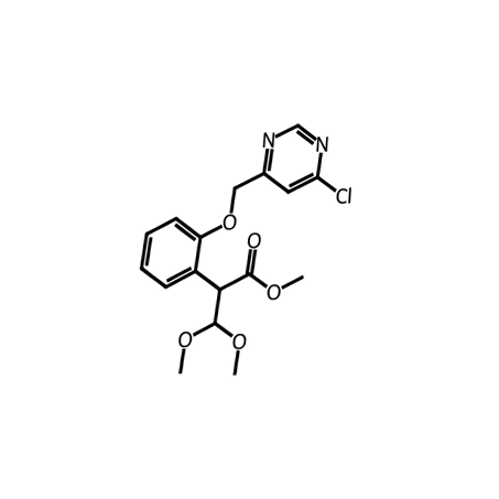 COC(=O)C(c1ccccc1OCc1cc(Cl)ncn1)C(OC)OC